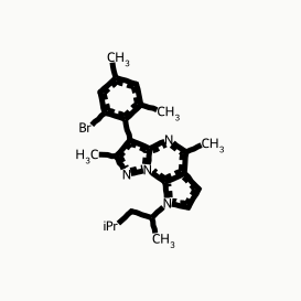 Cc1cc(C)c(-c2c(C)nn3c2nc(C)c2ccn(C(C)CC(C)C)c23)c(Br)c1